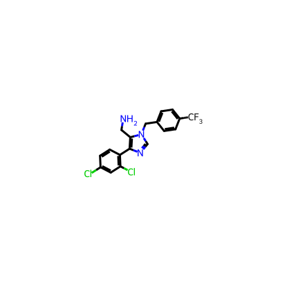 NCc1c(-c2ccc(Cl)cc2Cl)ncn1Cc1ccc(C(F)(F)F)cc1